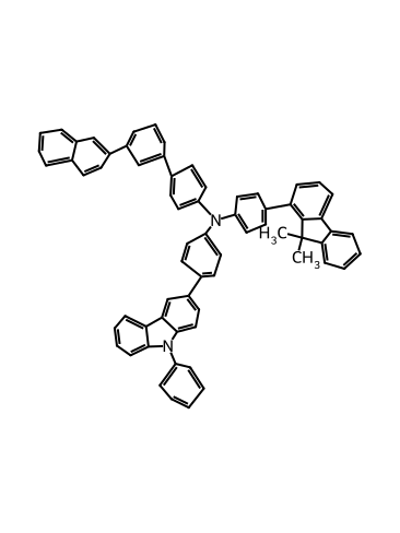 CC1(C)c2ccccc2-c2cccc(-c3ccc(N(c4ccc(-c5cccc(-c6ccc7ccccc7c6)c5)cc4)c4ccc(-c5ccc6c(c5)c5ccccc5n6-c5ccccc5)cc4)cc3)c21